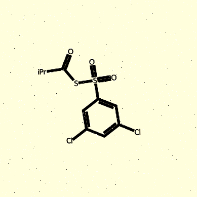 CC(C)C(=O)SS(=O)(=O)c1cc(Cl)cc(Cl)c1